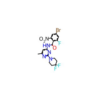 Cc1cc(NC(=O)c2c(F)cc(Br)cc2[N+](=O)[O-])nc(N2CCC(F)(F)CC2)n1